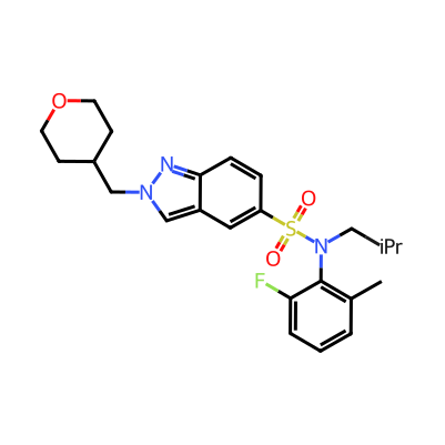 Cc1cccc(F)c1N(CC(C)C)S(=O)(=O)c1ccc2nn(CC3CCOCC3)cc2c1